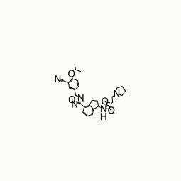 CC(C)Oc1ccc(-c2nc(-c3cccc4c3CCC4NS(=O)(=O)CCN3CCCC3)no2)cc1C#N